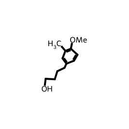 COc1ccc(CCCCO)cc1C